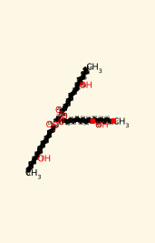 CCCCCCC(O)CC=CCCCCCCCC(=O)OCC(COC(=O)CCCCCCCC=CCC(O)CCCCCC)OC(=O)CCCCCCCC=CCC(O)CCCCCC